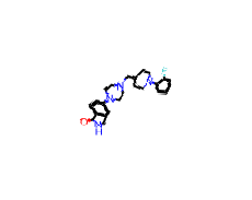 O=C1NCc2cc(N3CCN(CC4CCN(c5ccccc5F)CC4)CC3)ccc21